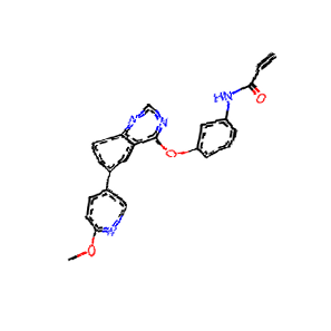 C=CC(=O)Nc1cccc(Oc2ncnc3ccc(-c4ccc(OC)nc4)cc23)c1